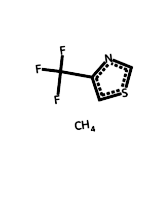 C.FC(F)(F)c1cscn1